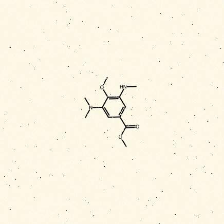 CNc1cc(C(=O)OC)cc(N(C)C)c1OC